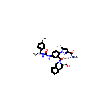 CCCCN(CCCC)C(=O)c1cc(C)n(-c2ccc(NC(=O)N[C@H](C)c3ccc(OC)cc3)cc2C(=O)N2Cc3ccccc3C[C@H]2CO)n1